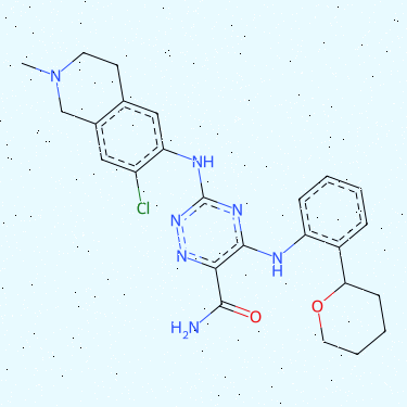 CN1CCc2cc(Nc3nnc(C(N)=O)c(Nc4ccccc4C4CCCCO4)n3)c(Cl)cc2C1